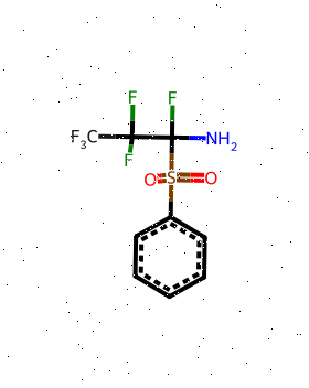 NC(F)(C(F)(F)C(F)(F)F)S(=O)(=O)c1ccccc1